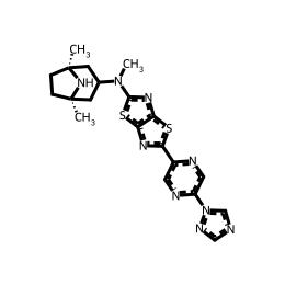 CN(c1nc2sc(-c3cnc(-n4cncn4)cn3)nc2s1)C1C[C@]2(C)CC[C@](C)(C1)N2